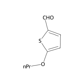 CCCOc1ccc(C=O)s1